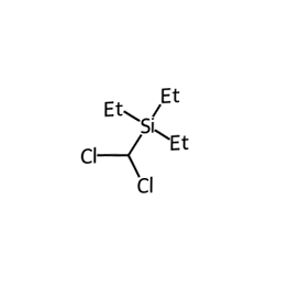 CC[Si](CC)(CC)C(Cl)Cl